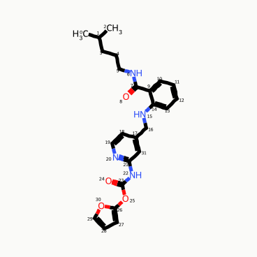 CC(C)CCCNC(=O)c1ccccc1NCc1ccnc(NC(=O)Oc2ccco2)c1